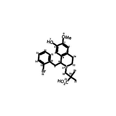 COc1cc2c(cc1O)C(Cc1ccccc1Br)N(CC(C)(C)C(=O)O)CC2